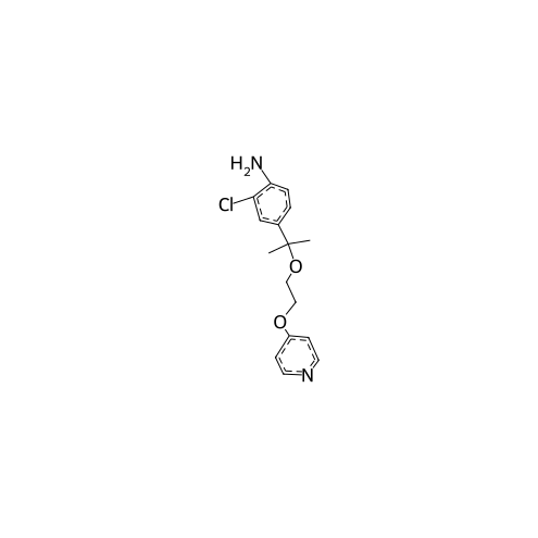 CC(C)(OCCOc1ccncc1)c1ccc(N)c(Cl)c1